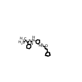 CN(C)c1nc(N[C@H]2CC[C@@H](CNC(=O)/C=C/c3ccccc3)CC2)nc2c1CCCC2